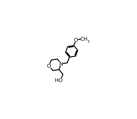 COc1ccc(CN2CCOCC2CO)cc1